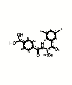 Cc1cc(I)cc(C(=O)N(NC(=O)c2ccc(B(O)O)cc2)C(C)(C)C)c1